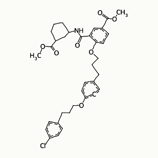 COC(=O)c1ccc(OCCCc2ccc(OCCCc3ccc(Cl)cc3)cc2)c(C(=O)NC2CCCC(C(=O)OC)C2)c1